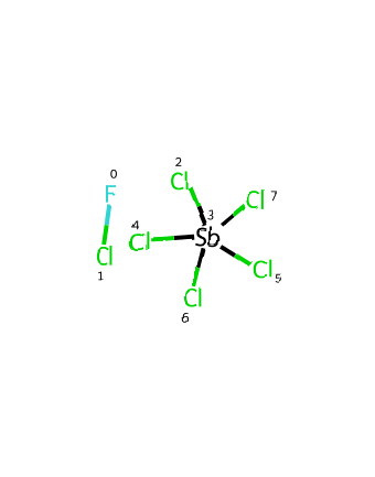 FCl.[Cl][Sb]([Cl])([Cl])([Cl])[Cl]